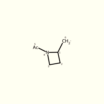 [CH2]C1CCN1C(C)=O